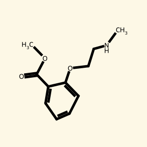 CNCCOc1ccccc1C(=O)OC